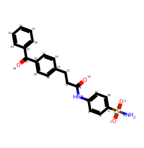 NS(=O)(=O)c1ccc(NC(=O)CCc2ccc(C(=O)c3ccccc3)cc2)cc1